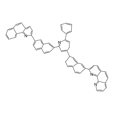 C1=C(c2ccccc2)N=C(c2ccc3ccc(-c4ccc5ccc6ccccc6c5n4)cc3c2)C=C(C2C=c3cc(-c4ccc5ccc6cccnc6c5n4)ccc3=CC2)C1